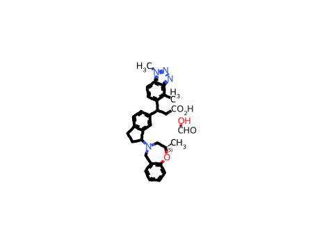 Cc1c(C(CC(=O)O)c2ccc3c(c2)C(N2Cc4ccccc4O[C@@H](C)C2)CC3)ccc2c1nnn2C.O=CO